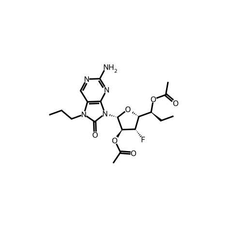 CCCn1c(=O)n([C@@H]2O[C@H]([C@H](CC)OC(C)=O)[C@H](F)[C@H]2OC(C)=O)c2nc(N)ncc21